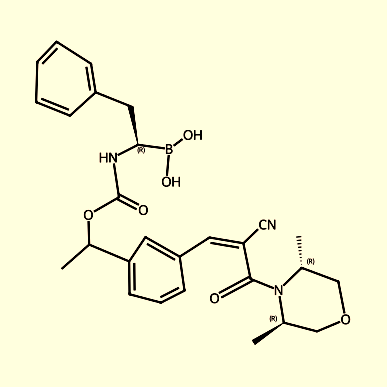 CC(OC(=O)N[C@@H](Cc1ccccc1)B(O)O)c1cccc(C=C(C#N)C(=O)N2[C@H](C)COC[C@H]2C)c1